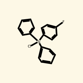 Fc1ccc([Si](Cl)(c2ccccc2)c2ccccc2)cc1